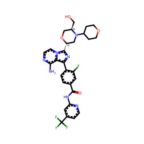 Nc1nccn2c([C@H]3CN(C4CCOCC4)[C@H](CO)CO3)nc(-c3ccc(C(=O)Nc4cc(C(F)(F)F)ccn4)cc3F)c12